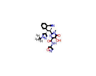 [2H]C([2H])([2H])n1cc([C@H](c2ccccc2C#N)[C@@H](C)c2nc(C(=O)Nc3cnoc3)c(O)c(=O)n2C)cn1